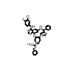 OC(OCc1ccccc1)N1CCC(n2cc(C(Nc3cc(Cl)c4ncnc(Nc5ccc(F)c(Cl)c5)c4c3)c3ccccc3)nn2)CC1